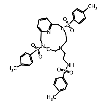 Cc1ccc(S(=O)(=O)NCCN2CCN(S(=O)(=O)c3ccc(C)cc3)Cc3cccc(n3)CN(S(=O)(=O)c3ccc(C)cc3)CC2)cc1